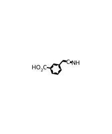 N=C=Cc1cccc(C(=O)O)c1